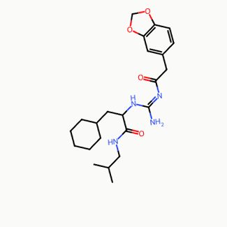 CC(C)CNC(=O)C(CC1CCCCC1)NC(N)=NC(=O)Cc1ccc2c(c1)OCO2